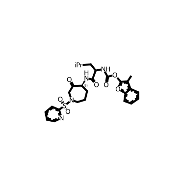 Cc1c(OC(=O)NC(CC(C)C)C(=O)N[C@H]2CCCN(S(=O)(=O)c3ccccn3)CC2=O)oc2ccccc12